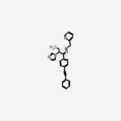 CCC(/C(=N\OCc1ccccn1)c1ccc(C#Cc2ccccc2)cc1)n1ccnc1